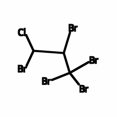 ClC(Br)C(Br)C(Br)(Br)Br